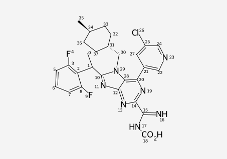 CC(c1c(F)cccc1F)c1nc2nc(C(=N)NC(=O)O)nc(-c3cncc(Cl)c3)c2n1C[C@H]1CC[C@H](C)CC1